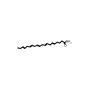 CC/C=C/C/C=C/C/C=C/C/C=C/C/C=C/CCCC(N)=O